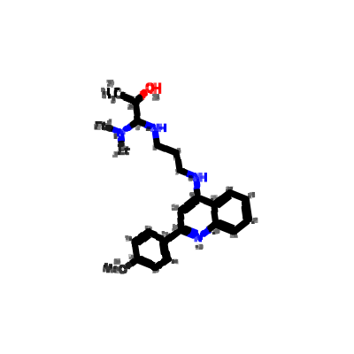 CCN(CC)C(NCCCNc1cc(-c2ccc(OC)cc2)nc2ccccc12)C(C)O